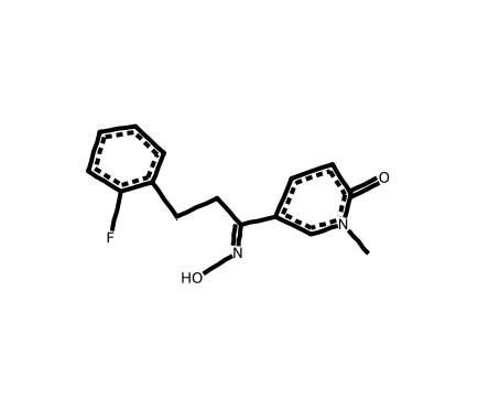 Cn1cc(C(C[CH]c2ccccc2F)=NO)ccc1=O